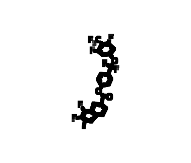 Cc1cc2ccc(C(=O)Oc3ccc(C(F)(F)Oc4cc(F)c(C(F)(F)F)c(F)c4)cc3)cc2c(F)c1F